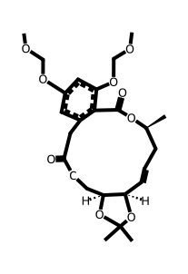 COCOc1cc2c(c(OCOC)c1)C(=O)O[C@@H](C)C/C=C/[C@H]1OC(C)(C)O[C@H]1CCC(=O)C2